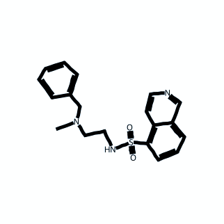 CN(CCNS(=O)(=O)c1cccc2cnccc12)Cc1ccccc1